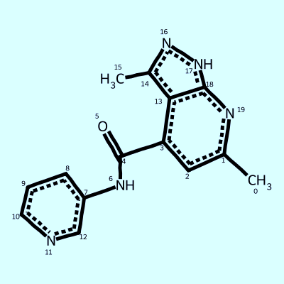 Cc1cc(C(=O)Nc2cccnc2)c2c(C)n[nH]c2n1